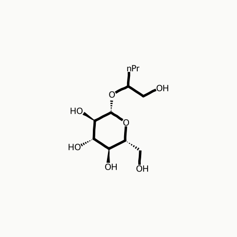 CCCC(CO)O[C@@H]1O[C@H](CO)[C@@H](O)[C@H](O)[C@H]1O